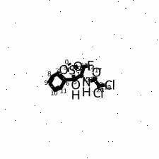 CS(=O)(=O)C(O)(c1ccccc1)C(CF)NC(=O)C(Cl)Cl